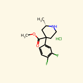 COC(=O)C1(c2ccc(F)c(F)c2)CCN[C@@H](C)C1.Cl